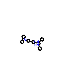 C1=C(c2ccccc2)NC(c2ccc(-c3ccc(-n4c5ccccc5c5ccccc54)cc3)cc2)NC1c1ccccc1